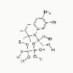 CCOCC(OCC)(OC(O)(OCC)C(OCC)(OCC)OCC)N1c2cc(C(C)C)c(N)cc2CC(C)C1(C)C